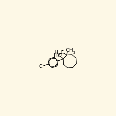 CC1(C)CCCCCC[C@]1(O)c1ccc(Cl)cc1